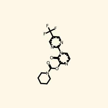 O=C(Oc1nccn(-c2ncc(C(F)(F)F)cn2)c1=O)N1CCCCC1